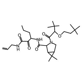 C=CCNC(=O)C(=O)C(CCC)NC(=O)C1C2C(CN1C(=O)C(OCCC(C)(C)C)C(C)(C)C)C2(C)C